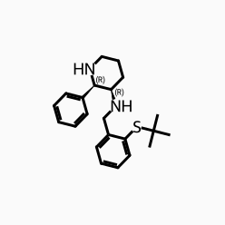 CC(C)(C)Sc1ccccc1CN[C@@H]1CCCN[C@@H]1c1ccccc1